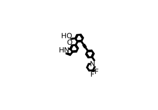 O=C(O)c1cccc(C#Cc2ccc(CN3CCCC(F)(F)C3)cc2)c1-c1ccc2cc[nH]c2c1